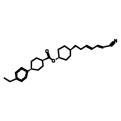 CCc1ccc([C@H]2CC[C@H](C(=O)O[C@H]3CC[C@H](CCC=CC=CC#N)CC3)CC2)cc1